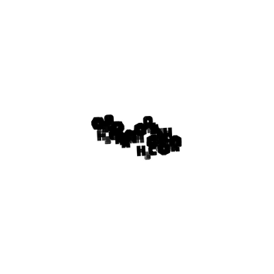 Cc1cccnc1[C@H]1CCC[C@@H](c2ncccc2C)N1CCNC1CN(C(=O)c2ccc(-c3cc4c(-c5cccc(NC(=O)c6ccccc6)c5C)ncnc4[nH]3)cc2)C1